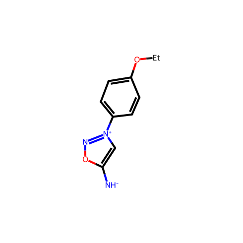 CCOc1ccc(-[n+]2cc([NH-])on2)cc1